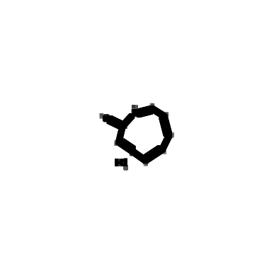 Cl.O=C1C=CC=CC=CC=N1